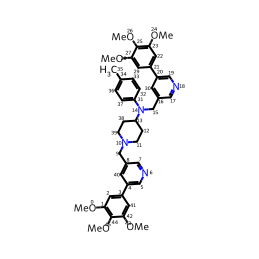 COc1cc(-c2cncc(CN3CCC(N(Cc4cncc(-c5cc(OC)c(OC)c(OC)c5)c4)c4ccc(C)cc4)CC3)c2)cc(OC)c1OC